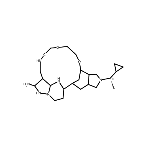 C[C@@H](C1CC1)N1CC2CC3CC(OCCOCCNCC4C(N)NN5CCC3NC45)C2C1